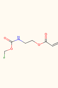 C=CC(=O)OCCNC(=O)OCF